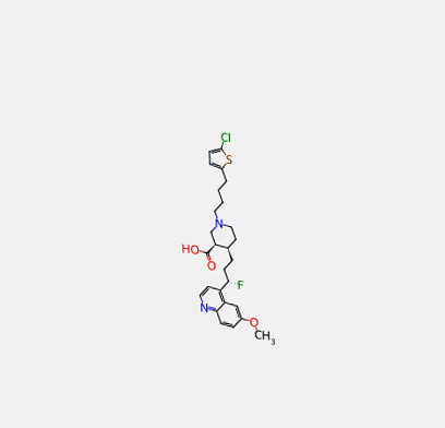 COc1ccc2nccc([C@@H](F)CC[C@@H]3CCN(CCCCc4ccc(Cl)s4)C[C@@H]3C(=O)O)c2c1